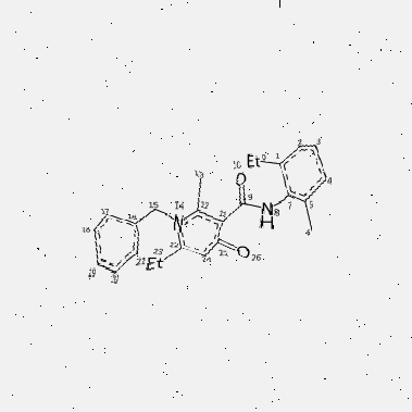 CCc1cccc(C)c1NC(=O)c1c(C)n(Cc2ccccc2)c(CC)cc1=O